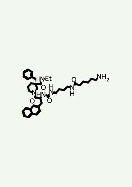 CCNC(=O)[C@]1(Cc2ccccc2)CCCN(C(=O)C(Cc2ccc3ccccc3c2)NC(=O)NCCCCNC(=O)CCCCCN)C1